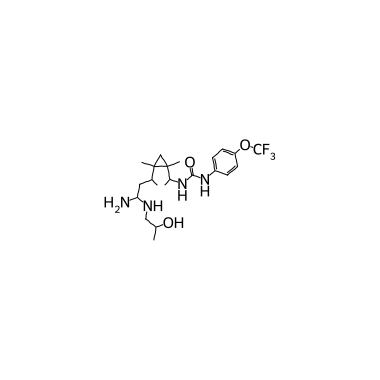 CC(O)CNC(N)CC(C)C1(C)CC1(C)C(C)NC(=O)Nc1ccc(OC(F)(F)F)cc1